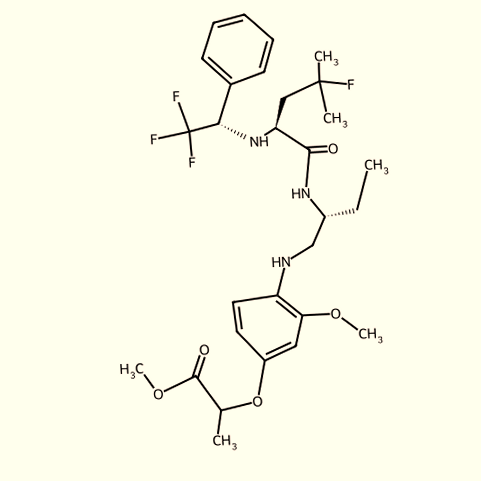 CC[C@H](CNc1ccc(OC(C)C(=O)OC)cc1OC)NC(=O)[C@H](CC(C)(C)F)N[C@@H](c1ccccc1)C(F)(F)F